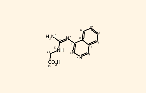 NC(=Nc1nncc2ccccc12)NCC(=O)O